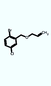 C=CCOCc1cc(Cl)ccc1Br